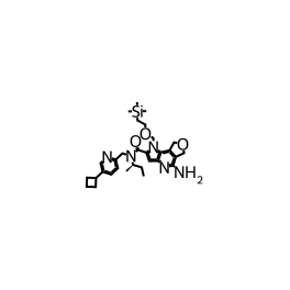 CC[C@@H](C)N(Cc1ccc(C2CCC2)cn1)C(=O)c1cc2nc(N)c3c(c2n1COCC[Si](C)(C)C)COC3